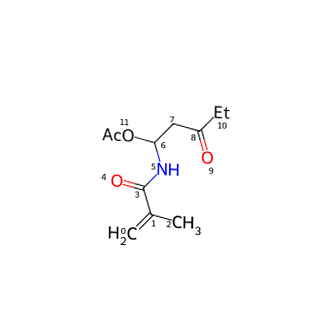 C=C(C)C(=O)NC(CC(=O)CC)OC(C)=O